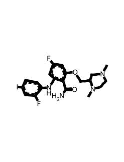 CN1CCN(C)C(COc2cc(F)cc(Nc3ccc(I)cc3F)c2C(N)=O)C1